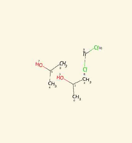 CC(C)O.CC(C)O.[Cl][Ti][Cl]